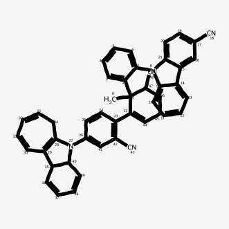 CC1(c2ccccc2-n2c3ccccc3c3cc(C#N)ccc32)C(c2ccc(N3C4=C(C=CC=CC4)C4C=CC=CC43)cc2C#N)=CCCC1C#N